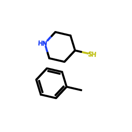 Cc1ccccc1.SC1CCNCC1